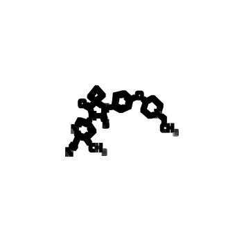 CCN1CCC(Oc2ccc(N3C(=S)N(c4cnc(C#N)c(C)c4)C(=O)C34CCC4)cc2)CC1